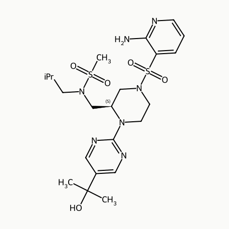 CC(C)CN(C[C@H]1CN(S(=O)(=O)c2cccnc2N)CCN1c1ncc(C(C)(C)O)cn1)S(C)(=O)=O